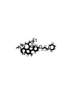 CCOCC1CN2CN(C)c3cnc4cc(F)c(-c5ccc(OCCCN6CCCCC6)nc5)c(c4c32)C1=O